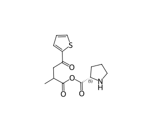 CC(CC(=O)c1cccs1)C(=O)OC(=O)[C@@H]1CCCN1